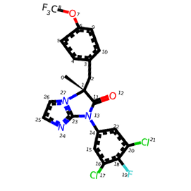 C[C@@]1(Cc2ccc(OC(F)(F)F)cc2)C(=O)N(c2cc(Cl)c(F)c(Cl)c2)c2nccn21